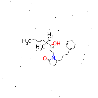 CCCCC(C)(C)[C@@H](O)CCN1C(=O)CCC1CCCc1ccccc1